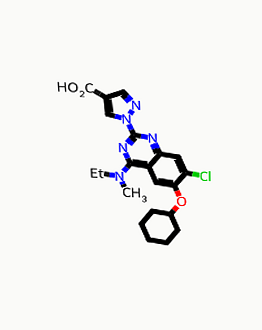 CCN(C)c1nc(-n2cc(C(=O)O)cn2)nc2cc(Cl)c(OC3CCCCC3)cc12